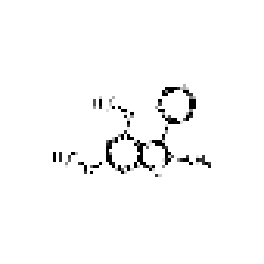 COc1cc(OC)c2c(-c3ccccc3)c(C)oc2c1